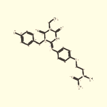 CCn1c(=O)[nH]/c(=N\c2ccc(OCCN(C)C(C)=O)cc2)n(Cc2ccc(Cl)cc2)c1=O